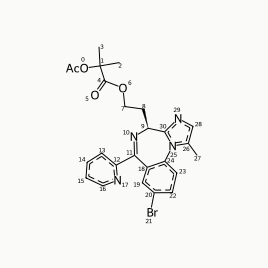 CC(=O)OC(C)(C)C(=O)OCC[C@@H]1N=C(c2ccccn2)c2cc(Br)ccc2-n2c(C)cnc21